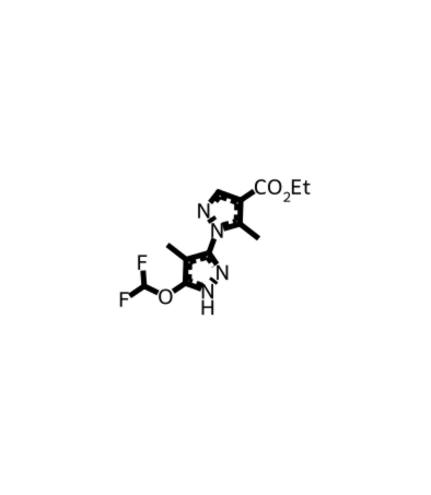 CCOC(=O)c1cnn(-c2n[nH]c(OC(F)F)c2C)c1C